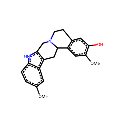 COc1ccc2[nH]c3c(c2c1)CC1c2cc(OC)c(O)cc2CCN1C3